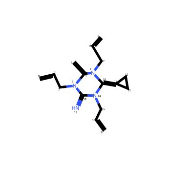 C=CCN1C(=C)N(CC=C)C(=C2CC2)N(CC=C)C1=N